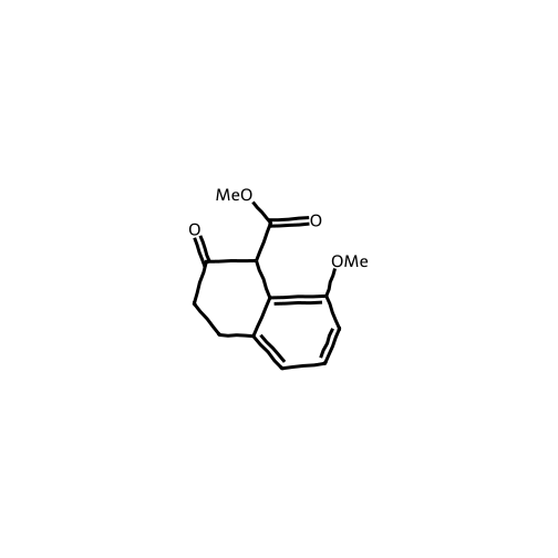 COC(=O)C1C(=O)CCc2cccc(OC)c21